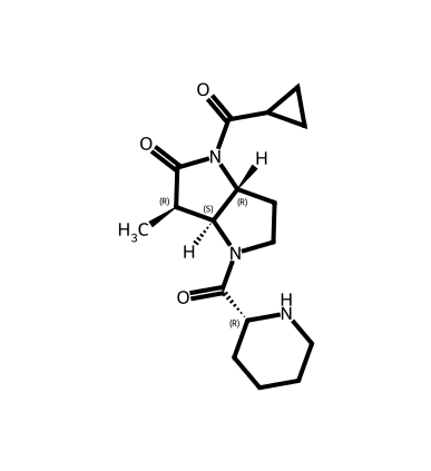 C[C@H]1C(=O)N(C(=O)C2CC2)[C@@H]2CCN(C(=O)[C@H]3CCCCN3)[C@H]21